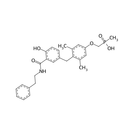 Cc1cc(OCP(C)(=O)O)cc(C)c1Cc1ccc(O)c(C(=O)NCCc2ccccc2)c1